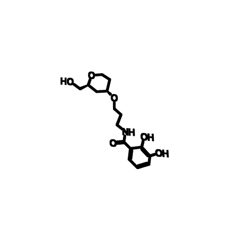 O=C(NCCCO[C@@H]1CCO[C@H](CO)C1)c1cccc(O)c1O